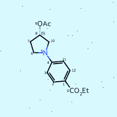 CCOC(=O)c1ccc(N2CC[C@H](OC(C)=O)C2)cc1